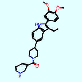 CCc1c(-c2ccc(OC)c(OC)c2)[nH]c2ccc(C3CCN(C(=O)C4CCCNC4)CC3)cc12